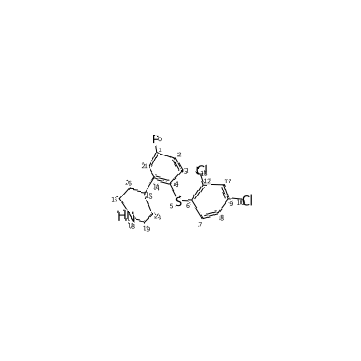 Fc1ccc(Sc2ccc(Cl)cc2Cl)c(C2CCNCC2)c1